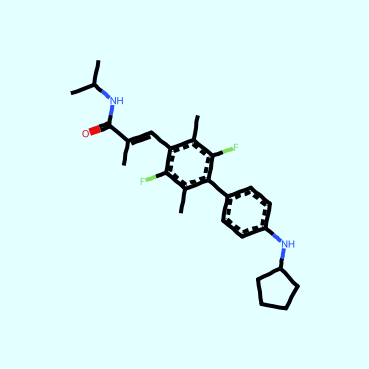 C/C(=C\c1c(C)c(F)c(-c2ccc(NC3CCCC3)cc2)c(C)c1F)C(=O)NC(C)C